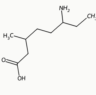 CCC(N)CCC(C)CC(=O)O